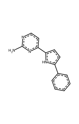 Nc1nccc(-c2ccc(-c3ccccc3)[nH]2)n1